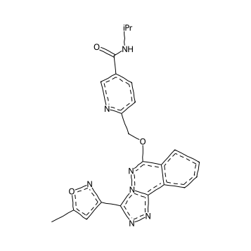 Cc1cc(-c2nnc3c4ccccc4c(OCc4ccc(C(=O)NC(C)C)cn4)nn23)no1